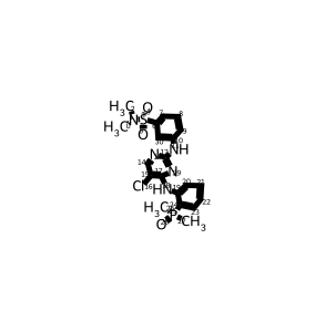 CN(C)S(=O)(=O)c1cccc(Nc2ncc(Cl)c(Nc3ccccc3P(C)(C)=O)n2)c1